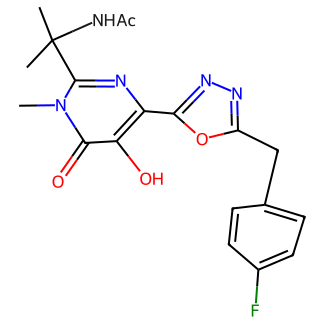 CC(=O)NC(C)(C)c1nc(-c2nnc(Cc3ccc(F)cc3)o2)c(O)c(=O)n1C